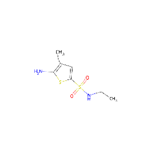 CCNS(=O)(=O)c1cc(C)c(N)s1